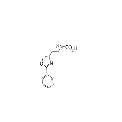 O=C(O)NCCc1coc(-c2ccccc2)n1